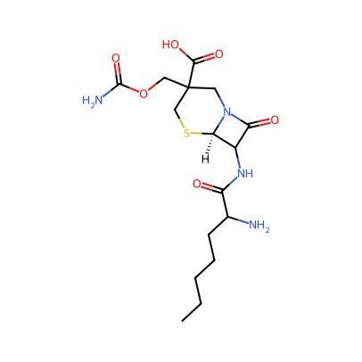 CCCCCC(N)C(=O)NC1C(=O)N2CC(COC(N)=O)(C(=O)O)CS[C@H]12